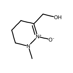 CN1CCCC(CO)=[N+]1[O-]